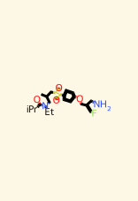 CCN(CC(C)CS(=O)(=O)c1ccc(OC/C(=C/F)CN)cc1)C(=O)C(C)C